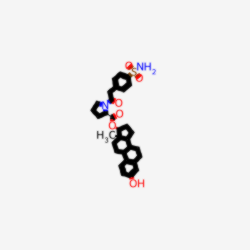 C[C@]12CCC3c4ccc(O)cc4CCC3C1CC[C@@H]2OC(=O)[C@@H]1CCCN1C(=O)Cc1ccc(S(N)(=O)=O)cc1